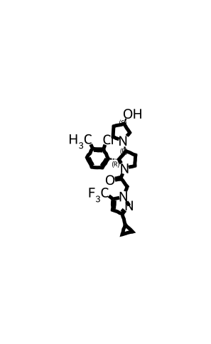 Cc1cccc([C@@H]2[C@H](N3CC[C@H](O)C3)CCN2C(=O)Cn2nc(C3CC3)cc2C(F)(F)F)c1Cl